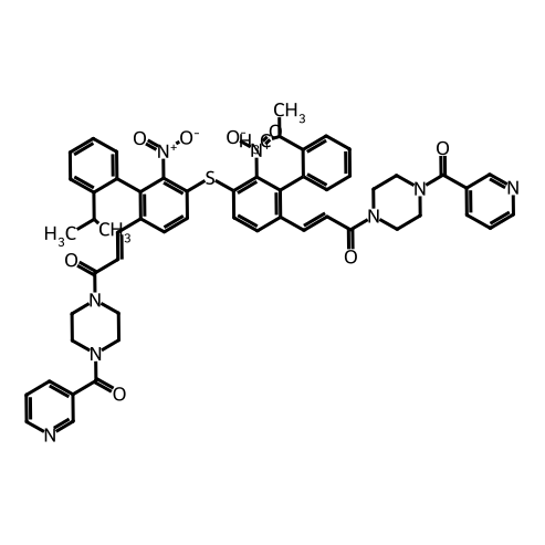 CC(C)c1ccccc1-c1c(/C=C/C(=O)N2CCN(C(=O)c3cccnc3)CC2)ccc(Sc2ccc(/C=C/C(=O)N3CCN(C(=O)c4cccnc4)CC3)c(-c3ccccc3C(C)C)c2[N+](=O)[O-])c1[N+](=O)[O-]